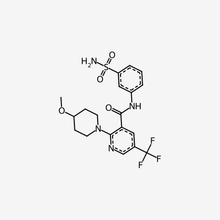 COC1CCN(c2ncc(C(F)(F)F)cc2C(=O)Nc2cccc(S(N)(=O)=O)c2)CC1